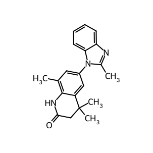 Cc1cc(-n2c(C)nc3ccccc32)cc2c1NC(=O)CC2(C)C